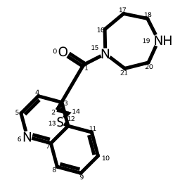 O=C(C1=C2C=CN=C3C=CC=CC32SC1)N1CCCNCC1